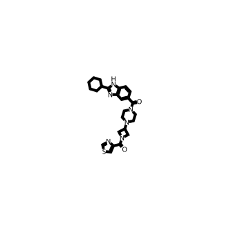 O=C(c1ccc2[nH]c(C3CCCCC3)nc2c1)N1CCN(C2CN(C(=O)c3cscn3)C2)CC1